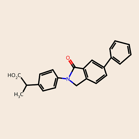 CC(C(=O)O)c1ccc(N2Cc3ccc(-c4ccccc4)cc3C2=O)cc1